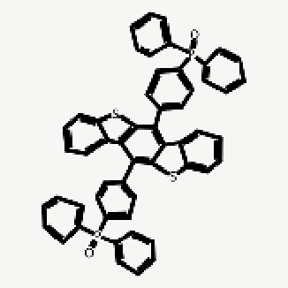 O=P(c1ccccc1)(c1ccccc1)c1ccc(-c2c3sc4ccccc4c3c(-c3ccc(P(=O)(c4ccccc4)c4ccccc4)cc3)c3sc4ccccc4c23)cc1